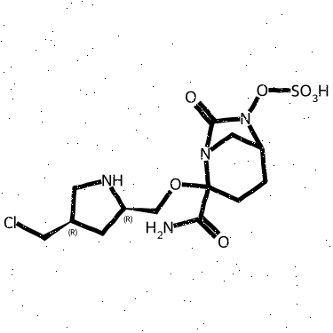 NC(=O)C1(OC[C@H]2C[C@@H](CCl)CN2)CCC2CN1C(=O)N2OS(=O)(=O)O